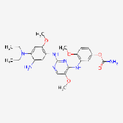 CCN(CC)c1cc(OC)c(Nc2ncc(OC)c(Nc3cc(OC(N)=O)ccc3OC)n2)cc1N